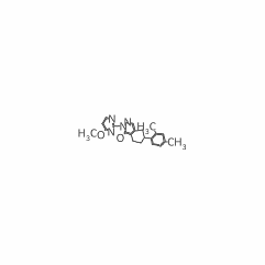 COc1ccnc(-n2ncc3c(c2=O)CCC(c2ccc(C)cc2C)C3)n1